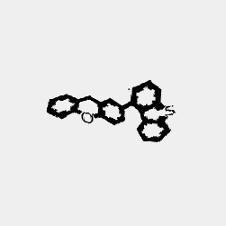 [c]1ccc2sc3ccccc3c2c1-c1ccc2c(c1)Cc1ccccc1O2